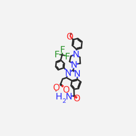 COC(=O)CC1c2cc(C(N)=O)ccc2N=C(N2CCN(c3cccc(OC)c3)CC2)N1c1cccc(C(F)(F)F)c1